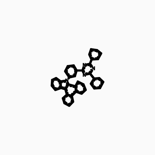 c1ccc(-c2nc(-c3ccccc3)nc(-c3cccc(-n4c5ccccc5c5c6ccccc6c6ccccc6c54)c3)n2)cc1